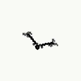 CC(C)(C)CCCCCCCC(=O)Oc1ccccc1OC(=O)CCCCCCCC(C)(C)C